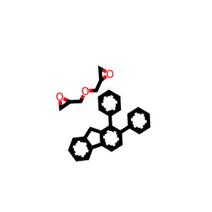 C(OCC1CO1)C1CO1.c1ccc(-c2ccc3c(c2-c2ccccc2)Cc2ccccc2-3)cc1